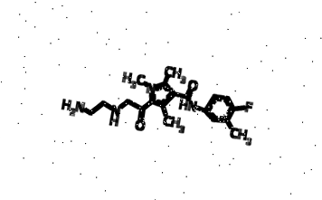 Cc1cc(NC(=O)c2c(C)c(C(=O)CNCCN)n(C)c2C)ccc1F